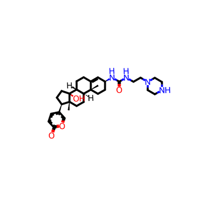 C[C@]12CC[C@H](NC(=O)NCCN3CCNCC3)C=C1CC[C@@H]1[C@@H]2CC[C@]2(C)[C@@H](c3ccc(=O)oc3)CC[C@]12O